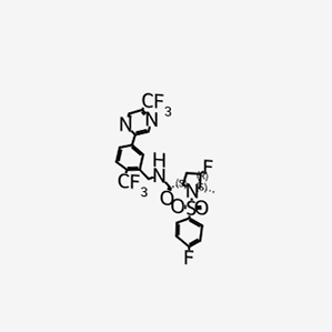 C[C@H]1[C@H](F)C[C@@H](C(=O)NCc2cc(-c3cnc(C(F)(F)F)cn3)ccc2C(F)(F)F)N1S(=O)(=O)c1ccc(F)cc1